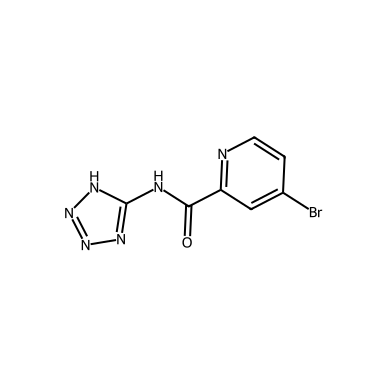 O=C(Nc1nnn[nH]1)c1cc(Br)ccn1